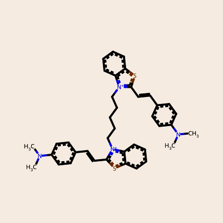 CN(C)c1ccc(/C=C/c2sc3ccccc3[n+]2CCCCC[n+]2c(/C=C/c3ccc(N(C)C)cc3)sc3ccccc32)cc1